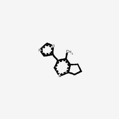 Cc1c(-c2cnco2)cnc2c1CCC2